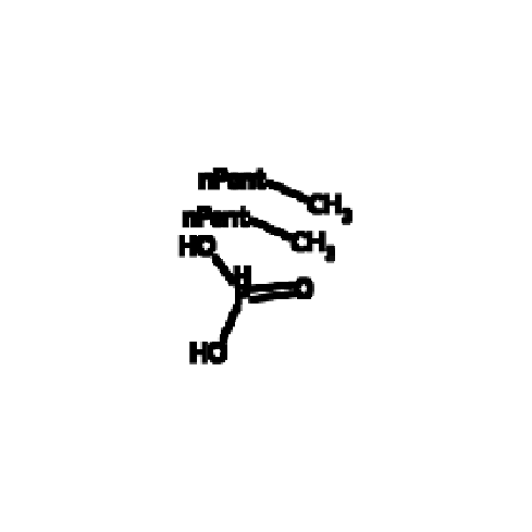 CCCCCC.CCCCCC.O=[PH](O)O